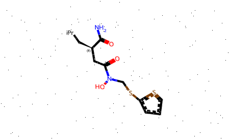 CC(C)C[C@H](CC(=O)N(O)CSc1cccs1)C(N)=O